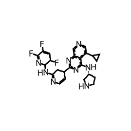 FC1=CC(F)C(NC2=NC=CC(c3nc(N[C@@H]4CCNC4)c4c(C5CC5)cncc4n3)C2)N=C1F